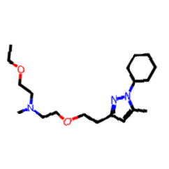 CCOCCN(C)CCOCCc1cc(C)n(C2CCCCC2)n1